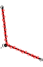 COCCOCCOCCOCCOCCOCCOCCOCCOCCOCCOCCOc1ccc(C)cc1OCCOCCOCCOCCOCCOCCOCCOCCOCCOCCOCCOC